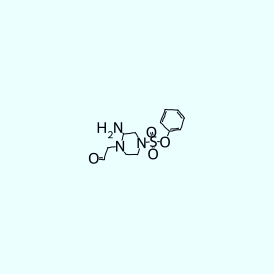 NC1CN(S(=O)(=O)Oc2ccccc2)CCN1CC=O